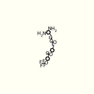 Nc1cc(N)cc(COCOC(=O)/C=C/c2ccc(OC(=O)c3ccc(OC(F)(F)C(F)F)cc3)cc2)c1